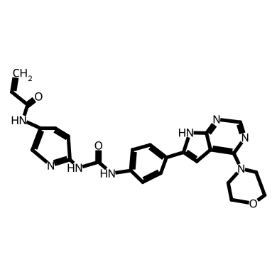 C=CC(=O)Nc1ccc(NC(=O)Nc2ccc(-c3cc4c(N5CCOCC5)ncnc4[nH]3)cc2)nc1